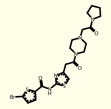 O=C(Nc1nc(CC(=O)N2CCN(CC(=O)N3CCCC3)CC2)cs1)c1ccc(Br)s1